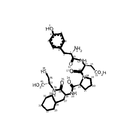 N[C@@H](Cc1ccc(O)cc1)C(=O)N[C@@H](CC(=O)O)C(=O)N1CCC[C@H]1C(=O)N[C@@H](CC1CCCCC1)C(=O)N[C@@H](CS)C(=O)O